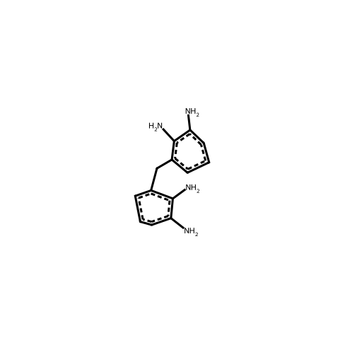 Nc1cccc(Cc2cccc(N)c2N)c1N